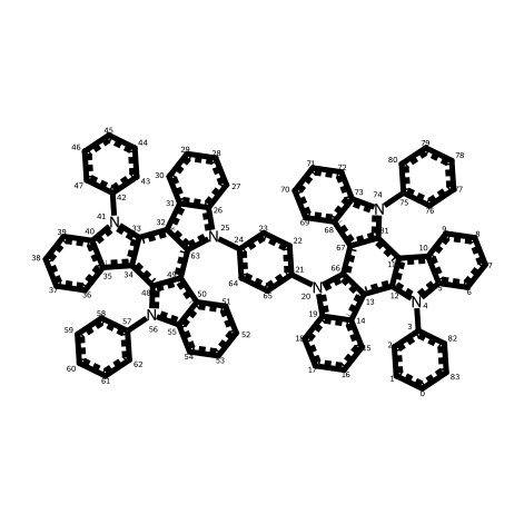 c1ccc(-n2c3ccccc3c3c2c2c4ccccc4n(-c4ccc(-n5c6ccccc6c6c7c(c8ccccc8n7-c7ccccc7)c7c(c8ccccc8n7-c7ccccc7)c65)cc4)c2c2c4ccccc4n(-c4ccccc4)c32)cc1